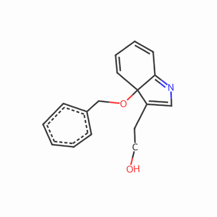 OCCC1=CN=C2C=CC=CC12OCc1ccccc1